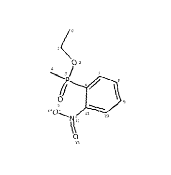 CCOP(C)(=O)c1ccccc1[N+](=O)[O-]